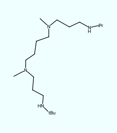 CC(C)NCCCN(C)CCCCN(C)CCCNC(C)(C)C